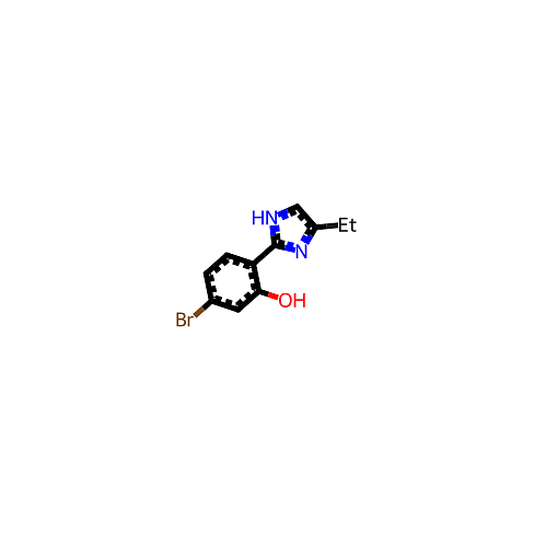 CCc1c[nH]c(-c2ccc(Br)cc2O)n1